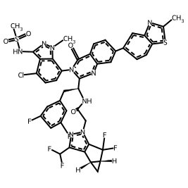 Cc1nc2cc(-c3ccc4c(=O)n(-c5ccc(Cl)c6c(NS(C)(=O)=O)nn(C)c56)c([C@H](Cc5cc(F)cc(F)c5)NC(=O)Cn5nc(C(F)F)c6c5C(F)(F)[C@@H]5C[C@H]65)nc4c3)ccc2s1